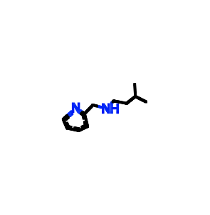 CC(C)CCNCc1ccccn1